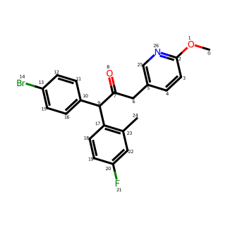 COc1ccc(CC(=O)C(c2ccc(Br)cc2)c2ccc(F)cc2C)cn1